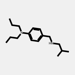 CCCN(CCC)c1ccc(CNCC(C)C)cc1